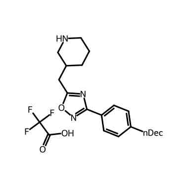 CCCCCCCCCCc1ccc(-c2noc(CC3CCCNC3)n2)cc1.O=C(O)C(F)(F)F